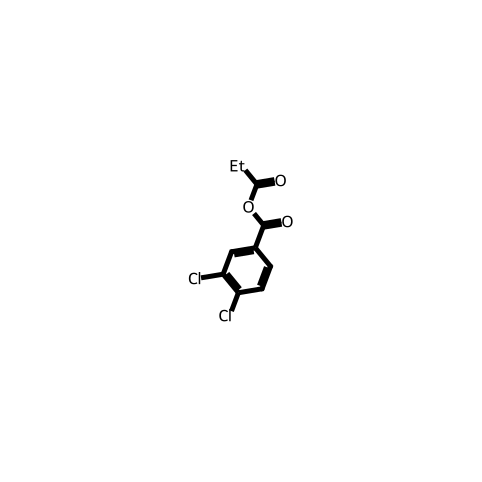 CCC(=O)OC(=O)c1ccc(Cl)c(Cl)c1